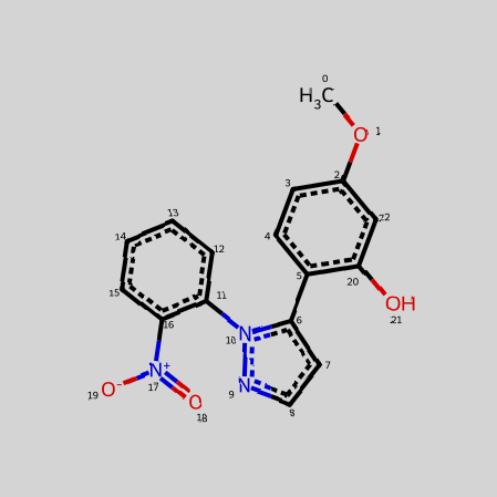 COc1ccc(-c2ccnn2-c2ccccc2[N+](=O)[O-])c(O)c1